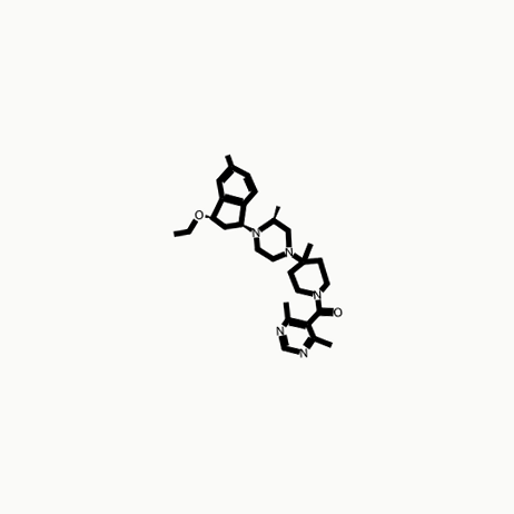 CCO[C@H]1C[C@H](N2CCN(C3(C)CCN(C(=O)c4c(C)ncnc4C)CC3)C[C@@H]2C)c2ccc(C)cc21